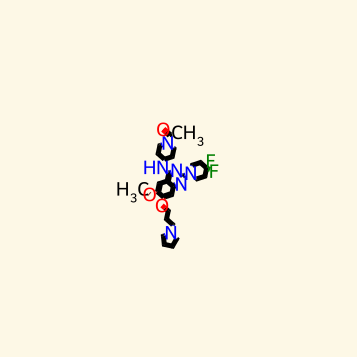 COc1cc2c(NC3CCN(C(C)=O)CC3)nc(N3CCC(F)(F)CC3)nc2cc1OCCCN1CCCC1